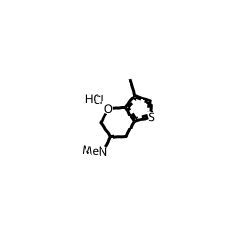 CNC1COc2c(C)csc2C1.Cl